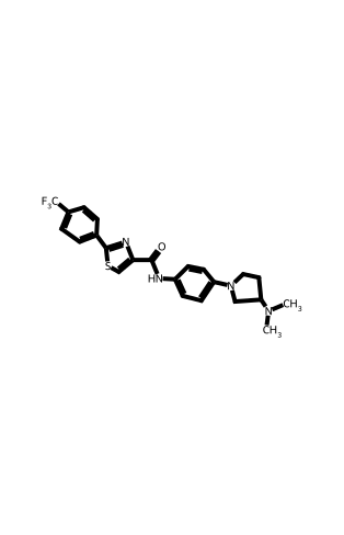 CN(C)C1CCN(c2ccc(NC(=O)c3csc(-c4ccc(C(F)(F)F)cc4)n3)cc2)C1